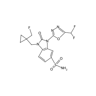 NS(=O)(=O)c1ccc2c(c1)n(-c1nnc(C(F)F)o1)c(=O)n2CC1(CF)CC1